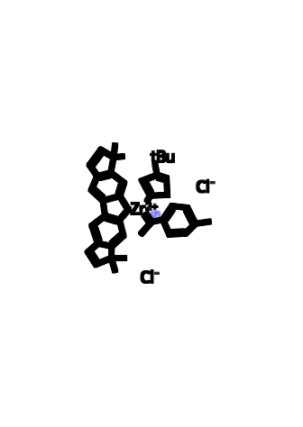 C/[C](c1ccc(C)cc1)=[Zr+2](/[C]1=CC(C(C)(C)C)=CC1)[CH]1c2cc3c(cc2-c2cc4c(cc21)C(C)(C)C=C4)C=CC3(C)C.[Cl-].[Cl-]